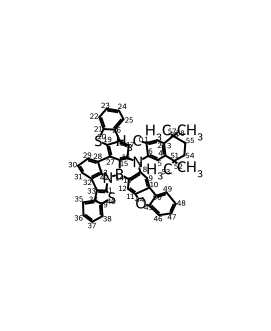 Cc1cc2c(cc1N1c3cc4c(cc3B3c5c1cc1c(sc6ccccc61)c5-c1cccc5c6c7ccccc7sc6n3c15)oc1ccccc14)C(C)(C)CCC2(C)C